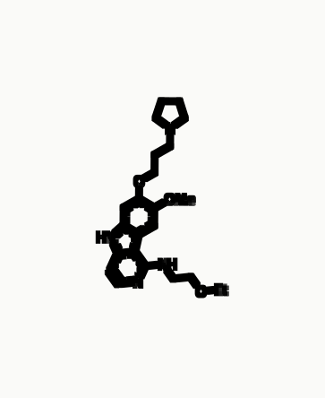 CCOCCNc1nc#cc2[nH]c3cc(OCCCN4CCCC4)c(OC)cc3c12